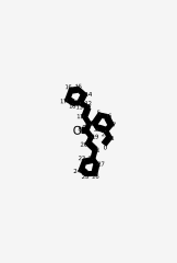 C=Cc1ccccc1.O=C(CC=Cc1ccccc1)CC=Cc1ccccc1